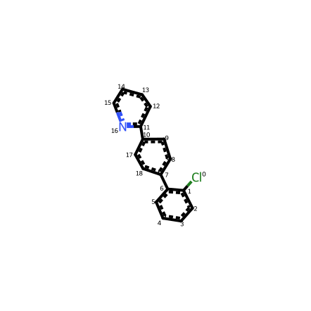 Clc1ccccc1-c1ccc(-c2ccccn2)cc1